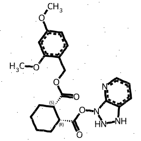 COc1ccc(COC(=O)[C@H]2CCCC[C@H]2C(=O)ON2NNc3cccnc32)c(OC)c1